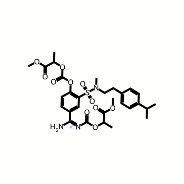 COC(=O)C(C)OC(=O)/N=C(/N)c1ccc(OC(=O)OC(C)C(=O)OC)c(S(=O)(=O)N(C)CCc2ccc(C(C)C)cc2)c1